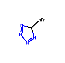 CC[CH]C1N=NN=N1